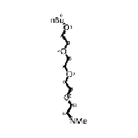 CCCCOCCOCCOCCOCCNC